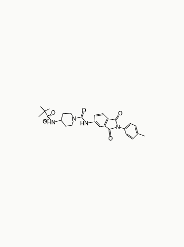 Cc1ccc(N2C(=O)c3ccc(NC(=O)N4CCC(NS(=O)(=O)C(C)(C)C)CC4)cc3C2=O)cc1